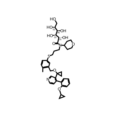 Cc1ccc(SCCCN(C(=O)[C@@H](O)[C@@H](O)[C@H](O)[C@@H](O)CO)C2CCOCC2)cc1COC1(c2cnccc2-c2ccccc2OC2CC2)CC1